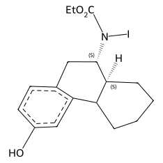 CCOC(=O)N(I)[C@H]1Cc2ccc(O)cc2C2CCCC[C@@H]21